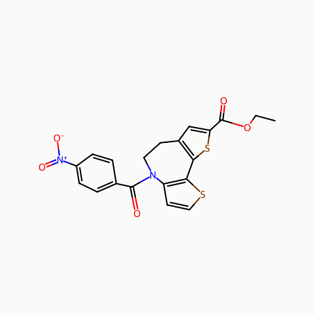 CCOC(=O)c1cc2c(s1)-c1sccc1N(C(=O)c1ccc([N+](=O)[O-])cc1)CC2